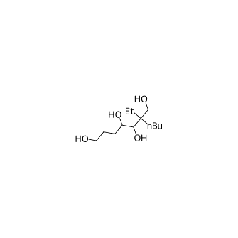 CCCCC(CC)(CO)C(O)C(O)CCCO